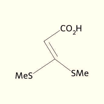 CSC(=CC(=O)O)SC